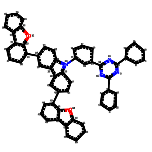 c1ccc(-c2nc(-c3ccccc3)nc(-c3cccc(-n4c5ccc(-c6cccc7c6oc6ccccc67)cc5c5cc(-c6cccc7c6oc6ccccc67)ccc54)c3)n2)cc1